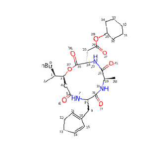 CCCC[C@H](C)[C@@H]1CC(=O)N[C@H](CC2=CCCC=C2)C(=O)N[C@H](C)C(=O)N[C@@H](CC(=O)OC2CCCCC2)C(=O)O1